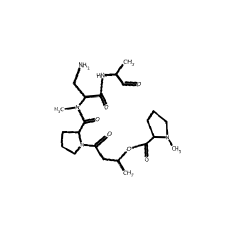 CC(C=O)NC(=O)C(CN)N(C)C(=O)C1CCCN1C(=O)CC(C)OC(=O)C1CCCN1C